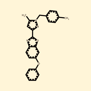 Cc1ccc(Cn2nc(-c3nc4ccc(Oc5ccccc5)cc4o3)cc2C)cc1